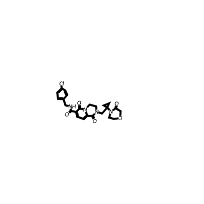 O=C(NCc1ccc(Cl)cc1)c1ccc2n(c1=O)CCN(CC1(N3CCOCC3=O)CC1)C2=O